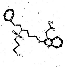 CCCCS(=O)(=O)N(CCCSc1nc2ccccc2n1CC(=O)O)CCc1ccccc1